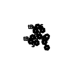 CC(C)(C)c1ccc2c(c1)N(c1cccc3sc4ccccc4c13)c1cc(N3c4ccc(-c5ccccc5)cc4C4(C)CCCCC34C)cc3c1B2c1ccc(C(C)(C)C)cc1N3c1cccc2sc3ccccc3c12